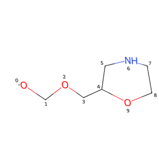 [O]COCC1CNCCO1